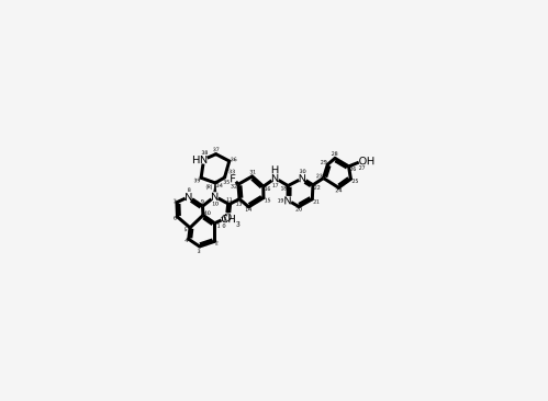 Cc1cccc2ccnc(N(C(=O)c3ccc(Nc4nccc(-c5ccc(O)cc5)n4)cc3F)[C@@H]3CCCNC3)c12